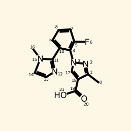 Cc1nn(-c2c(F)cccc2-c2nccn2C)cc1C(=O)O